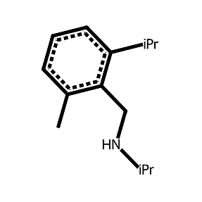 Cc1cccc(C(C)C)c1CNC(C)C